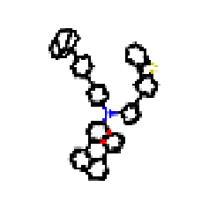 c1ccc(-c2cccc3cccc(-c4ccc(N(c5ccc(-c6ccc(C78CC9CC(CC(C9)C7)C8)cc6)cc5)c5cccc(-c6ccc7sc8ccccc8c7c6)c5)cc4)c23)cc1